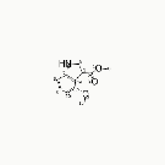 COC(=O)C1CNc2cccc(OC)c21